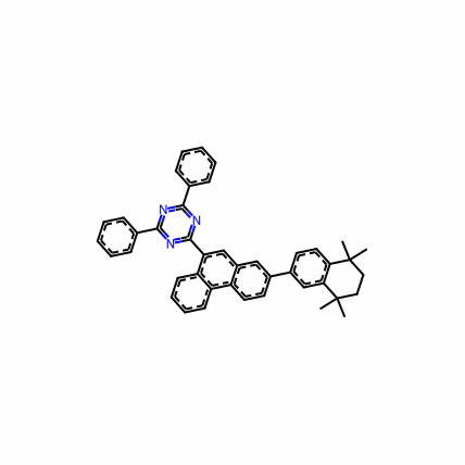 CC1(C)CCC(C)(C)c2cc(-c3ccc4c(c3)cc(-c3nc(-c5ccccc5)nc(-c5ccccc5)n3)c3ccccc34)ccc21